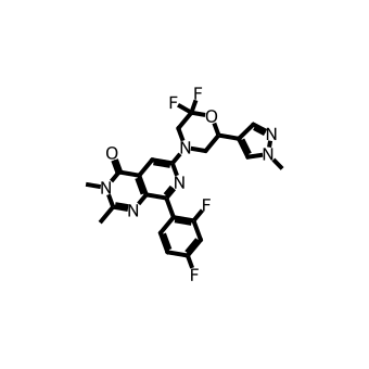 Cc1nc2c(-c3ccc(F)cc3F)nc(N3CC(c4cnn(C)c4)OC(F)(F)C3)cc2c(=O)n1C